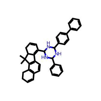 CC1(C)c2c(ccc3c2CCC=C3)C2=C(C3NC(c4ccccc4)NC(c4ccc(-c5ccccc5)cc4)N3)C=CCC21